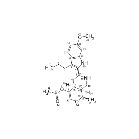 CCCc1c([C@@H]2C[C@@H]3C(OC(C)=O)=CO[C@H](C)[C@@H]3CN2)[nH]c2cc(OC)ccc12